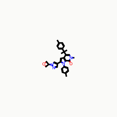 Cc1ccc(-n2c(-c3cnn(C4COC4)c3)cc3c(C(C)(C)c4ccc(C)cc4)cn(C)c(=O)c32)cc1